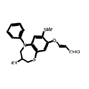 CCC1CSc2cc(O/C=C/C=O)c(SC)cc2N(c2ccccc2)C1